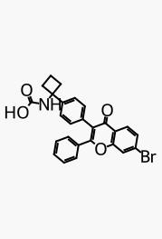 O=C(O)NC1(c2ccc(-c3c(-c4ccccc4)oc4cc(Br)ccc4c3=O)cc2)CCC1